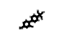 Cc1cc(Br)ccc1-c1ccc(C(F)(F)F)cc1